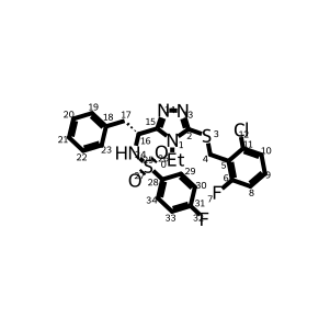 CCn1c(SCc2c(F)cccc2Cl)nnc1[C@@H](Cc1ccccc1)NS(=O)(=O)c1ccc(F)cc1